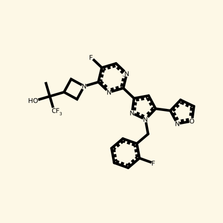 CC(O)(C1CN(c2nc(-c3cc(-c4ccon4)n(Cc4ccccc4F)n3)ncc2F)C1)C(F)(F)F